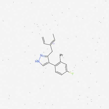 C=C/C(=C\C)Cc1n[nH]cc1-c1ccc(F)cc1C(C)C